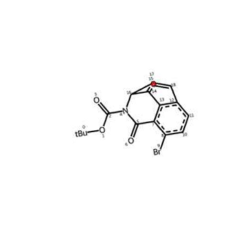 CC(C)(C)OC(=O)N1C(=O)c2c(Br)ccc3c2C(=O)C1C=C3